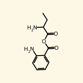 CCC(N)C(=O)OC(=O)c1ccccc1N